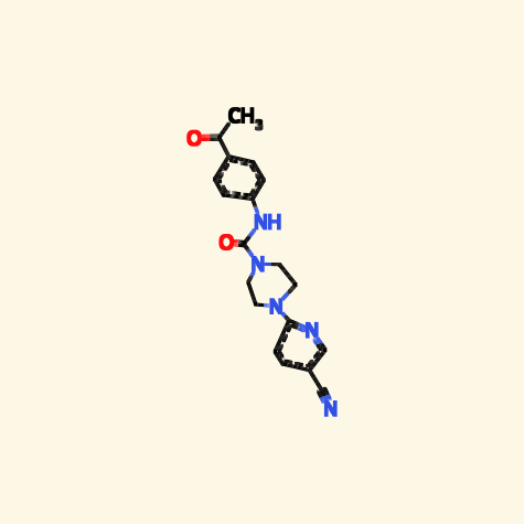 CC(=O)c1ccc(NC(=O)N2CCN(c3ccc(C#N)cn3)CC2)cc1